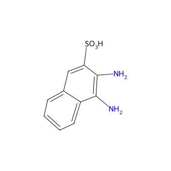 Nc1c(S(=O)(=O)O)cc2ccccc2c1N